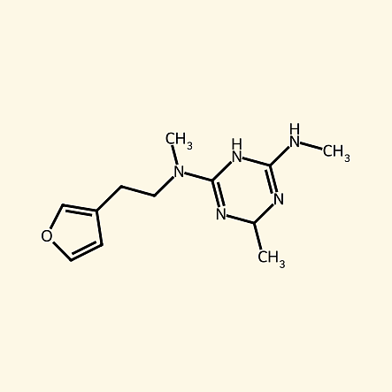 CNC1=NC(C)N=C(N(C)CCc2ccoc2)N1